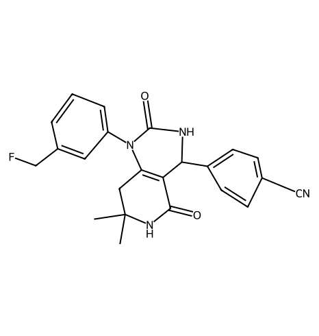 CC1(C)CC2=C(C(=O)N1)C(c1ccc(C#N)cc1)NC(=O)N2c1cccc(CF)c1